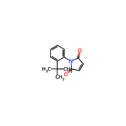 CC(C)(C)c1ccccc1N1C(=O)C=CC1=O